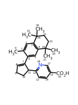 Cc1cc2c(cc1C1=CCCC1c1ccc(C(=O)O)cn1)C(C)(C)CCC2(C)C